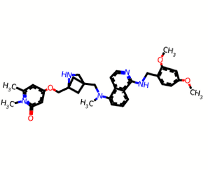 COc1ccc(CNc2nccc3c(N(C)CC45CNC(COc6cc(C)n(C)c(=O)c6)(C4)C5)cccc23)c(OC)c1